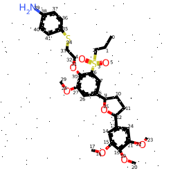 CCCS(=O)(=O)c1cc(C2CCC(c3cc(OC)c(OC)c(OC)c3)O2)cc(OC)c1OCCSc1ccc(N)cc1